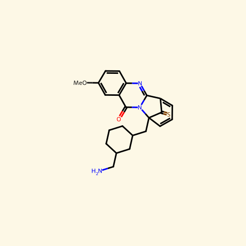 COc1ccc2nc3n(c(=O)c2c1)C1(CC2CCCC(CN)C2)C=CC=C3C1=S